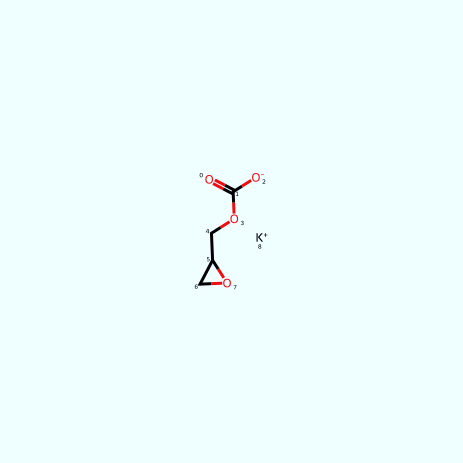 O=C([O-])OCC1CO1.[K+]